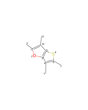 Cc1oc2c(C)c(C)sc2c1C